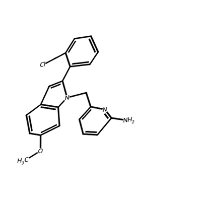 COc1ccc2cc(-c3ccccc3Cl)n(Cc3cccc(N)n3)c2c1